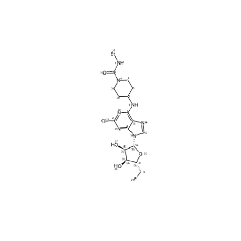 CCNC(=O)N1CCC(Nc2nc(Cl)nc3c2ncn3[C@@H]2O[C@H](CF)[C@@H](O)[C@H]2O)CC1